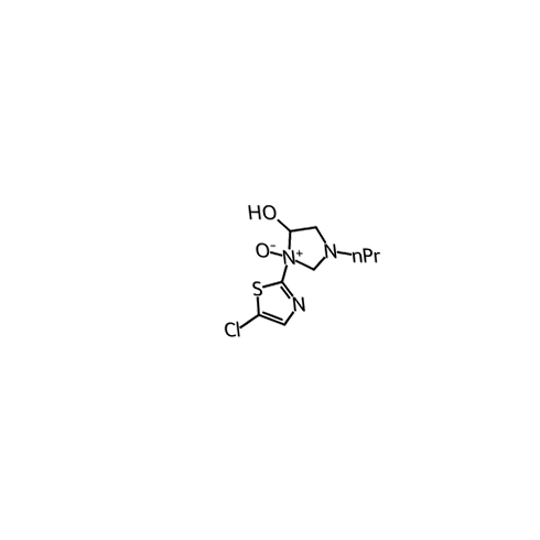 CCCN1CC(O)[N+]([O-])(c2ncc(Cl)s2)C1